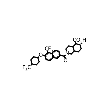 O=C(O)C1CCCC2CN(C(=O)c3ccc4c(C(F)(F)F)c(OC5CCC(C(F)(F)F)CC5)ccc4c3)CCC21